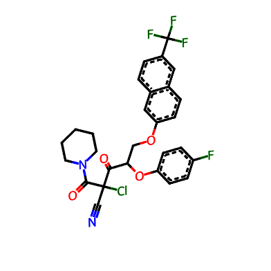 N#CC(Cl)(C(=O)C(COc1ccc2cc(C(F)(F)F)ccc2c1)Oc1ccc(F)cc1)C(=O)N1CCCCC1